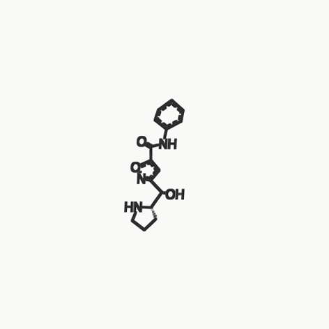 O=C(Nc1ccccc1)c1cc([C@@H](O)[C@@H]2CCCN2)no1